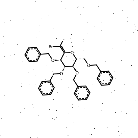 FC(Br)=C1O[C@H](COCc2ccccc2)[C@@H](OCc2ccccc2)[C@H](OCc2ccccc2)[C@H]1OCc1ccccc1